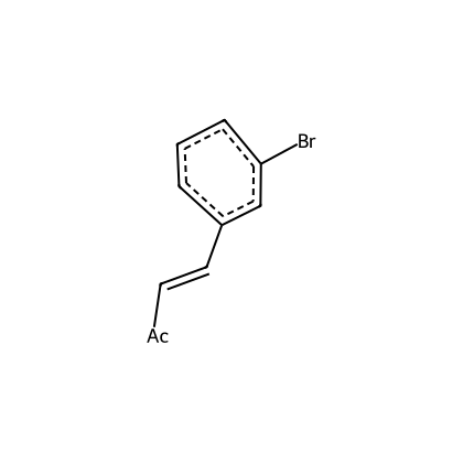 CC(=O)/C=C/c1cccc(Br)c1